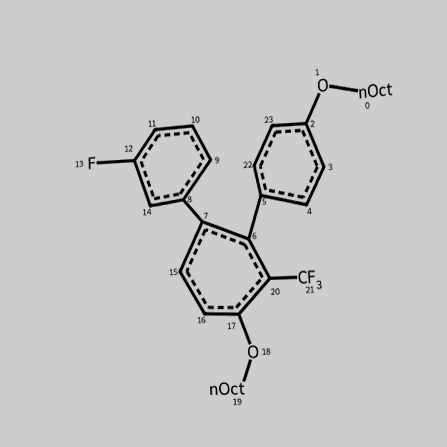 CCCCCCCCOc1ccc(-c2c(-c3cccc(F)c3)ccc(OCCCCCCCC)c2C(F)(F)F)cc1